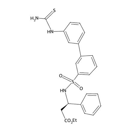 CCOC(=O)C[C@@H](NS(=O)(=O)c1cccc(-c2cccc(NC(N)=S)c2)c1)c1ccccc1